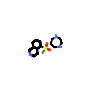 C1CNCCNC1.O=S(=O)(Cl)c1cccc2cnccc12